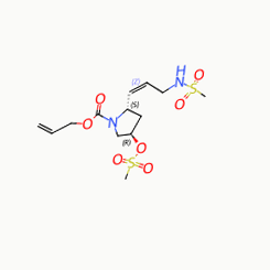 C=CCOC(=O)N1C[C@H](OS(C)(=O)=O)C[C@H]1/C=C\CNS(C)(=O)=O